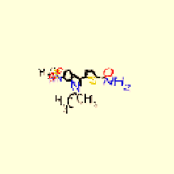 CCC(C)n1cc(-c2ccc(C(N)=O)s2)c2ccc(NS(C)(=O)=O)cc21